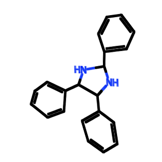 c1ccc(C2NC(c3ccccc3)C(c3ccccc3)N2)cc1